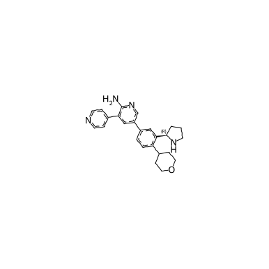 Nc1ncc(-c2ccc(C3CCOCC3)c([C@H]3CCCN3)c2)cc1-c1ccncc1